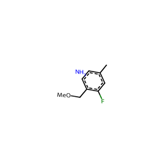 COCc1ccc(C)cc1F.N